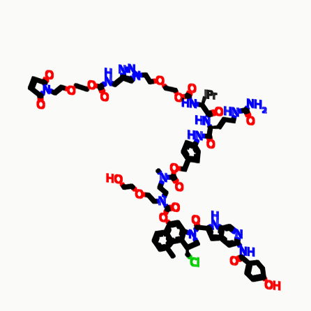 Cc1cccc2c(OC(=O)N(CCOCCO)CCN(C)C(=O)OCc3ccc(NC(=O)[C@H](CCCNC(N)=O)NC(=O)[C@@H](NC(=O)OCCOCCn4cc(CNC(=O)OCCOCCN5C(=O)C=CC5=O)nn4)C(C)C)cc3)cc3c(c12)[C@H](CCl)CN3C(=O)c1cc2cc(NC(=O)C3=CC=C(O)CC3)ncc2[nH]1